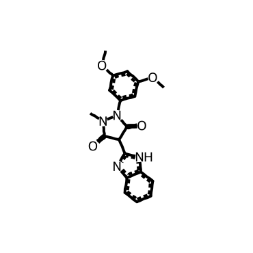 COc1cc(OC)cc(N2C(=O)C(c3nc4ccccc4[nH]3)C(=O)N2C)c1